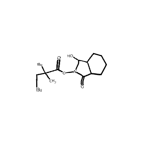 CC(C)(C)CC(C)(C(=O)ON1C(=O)C2CCCCC2C1O)C(C)(C)C